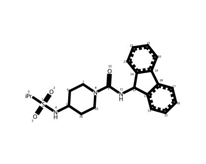 CC(C)S(=O)(=O)NC1CCN(C(=O)NC2c3ccccc3-c3ccccc32)CC1